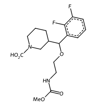 COC(=O)NCCOC(c1cccc(F)c1F)C1CCCN(C(=O)O)C1